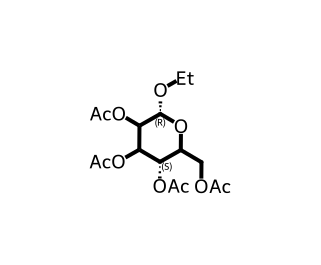 CCO[C@@H]1OC(COC(C)=O)[C@H](OC(C)=O)C(OC(C)=O)C1OC(C)=O